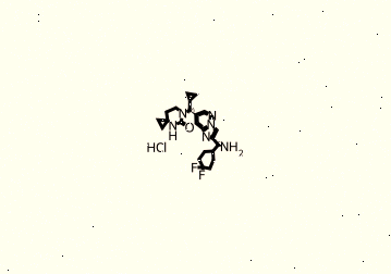 Cl.N[C@H](c1cn2ncc([C@@H](C3CC3)N3CCC4(CC4)NC3=O)cc2n1)C1CCC(F)(F)CC1